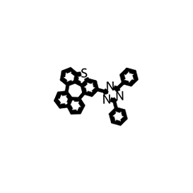 c1ccc(-c2nc(-c3ccccc3)nc(-c3cc4c5c(c3)sc3cccc(c35)-c3cccc5cccc-4c35)n2)cc1